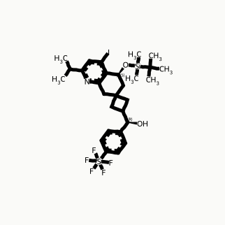 CC(C)c1cc(I)c2c(n1)CC1(CC([C@@H](O)c3ccc(S(F)(F)(F)(F)F)cc3)C1)C[C@@H]2O[Si](C)(C)C(C)(C)C